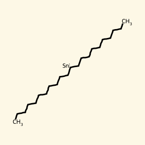 CCCCCCCCCCCCCCCCCCCCCC.[Sn]